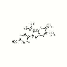 Cc1ccc(C2=Cc3cc(C)c(C)cc3[CH]2[Zr]([Cl])[Cl])cc1